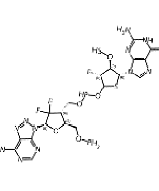 Nc1nc2c(ncn2[C@@H]2SC(OPOC[C@@H]3[C@@H](COP)O[C@@H](n4nnc5c(N)ncnc54)C3(F)F)[C@H](F)[C@H]2OS)c(=O)[nH]1